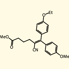 CCOc1ccc(/C(=C(/C#N)CCCC(=O)OC)c2ccc(OC)cc2)cc1